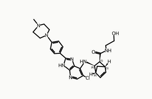 CN1CCN(c2ccc(-c3nc4c(N[C@H]5[C@@H](C(=O)NCCO)[C@@H]6C=C[C@H]5C6)c(Cl)cnc4[nH]3)cc2)CC1